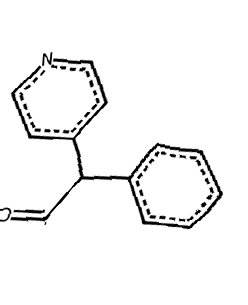 O=[C]C(c1ccccc1)c1ccncc1